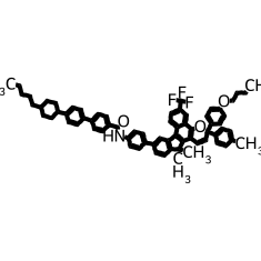 CCCCCC1CCC(c2ccc(-c3ccc(C(=O)Nc4ccc(-c5ccc6c(c5)-c5c(c7c(c8cc(C(F)(F)F)ccc58)OC(c5ccc(C)cc5)(c5ccc(OCCCC)cc5)C=C7)C6(C)C)cc4)cc3)cc2)CC1